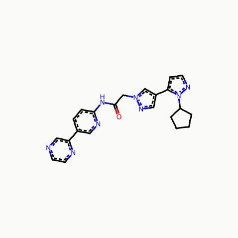 O=C(Cn1cc(-c2ccnn2C2CCCC2)cn1)Nc1ccc(-c2cnccn2)cn1